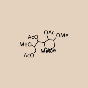 COCC(OC)C(OC(C)=O)C(OC)C(OC(C)=O)C(COC(C)=O)OC